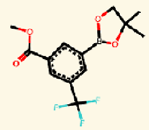 COC(=O)c1cc(B2OCC(C)(C)O2)cc(C(F)(F)F)c1